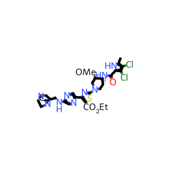 CCOC(=O)c1sc(N2CC[C@@H](NC(=O)c3[nH]c(C)c(Cl)c3Cl)[C@@H](OC)C2)nc1-c1cnc(NCC2CN3CCN2CC3)cn1